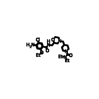 CCOc1cc(N)c(Cl)cc1C(=O)NCC1CN(CC2CCN(C(=O)N(CC)CC)CC2)CCO1